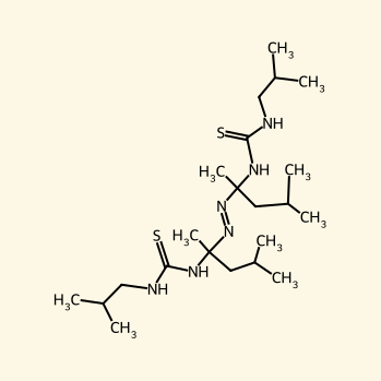 CC(C)CNC(=S)NC(C)(CC(C)C)N=NC(C)(CC(C)C)NC(=S)NCC(C)C